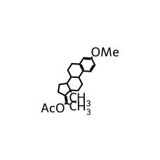 COc1ccc2c(c1)CCC1C2CC[C@]2(C)/C(=C(\C)OC(C)=O)CCC12